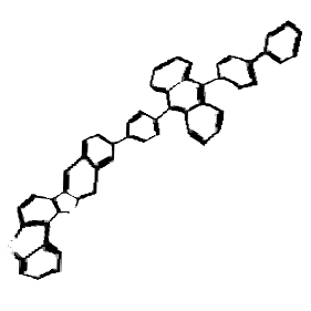 c1ccc(-c2ccc(-c3c4ccccc4c(-c4ccc(-c5ccc6cc7c(cc6c5)sc5c7ccc6sc7ccccc7c65)cc4)c4ccccc34)cc2)cc1